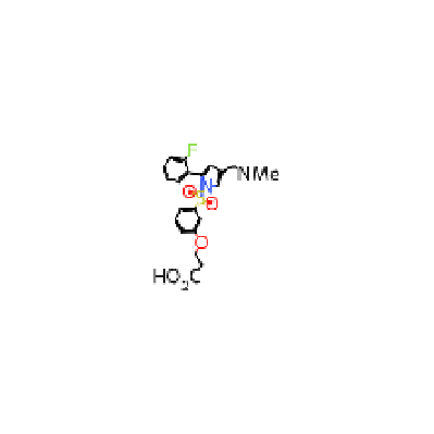 CNCc1cc(-c2ccccc2F)n(S(=O)(=O)c2cccc(OCCC(=O)O)c2)c1